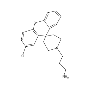 NCCCN1CCC2(CC1)c1ccccc1Oc1ccc(Cl)cc12